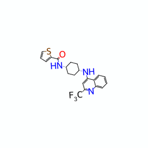 O=C(N[C@H]1CC[C@@H](Nc2cc(C(F)(F)F)nc3ccccc23)CC1)c1cccs1